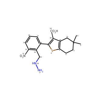 CC1(C)CCc2sc(-c3cccc([N+](=O)[O-])c3CNN)c(C(=O)O)c2C1